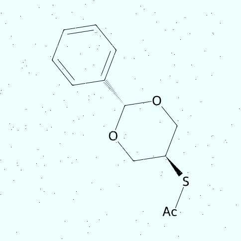 CC(=O)S[C@H]1CO[C@H](c2ccccc2)OC1